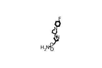 NC(=O)OCc1cnn(C2CCN(c3ccc(F)cc3)C2)c1